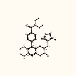 CCN(CC)C(=O)c1ccc(-c2c3c(cc(OC)c2OC)CC(C)N(Cc2[nH]cnc2C)C3)cc1